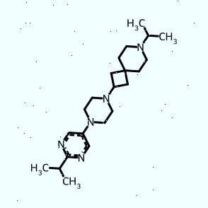 CC(C)c1ncc(N2CCN(C3CC4(CCN(C(C)C)CC4)C3)CC2)cn1